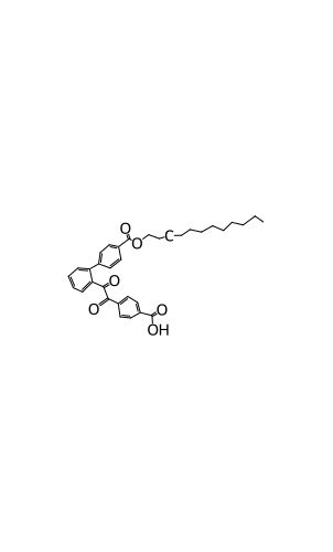 CCCCCCCCCCCCOC(=O)c1ccc(-c2ccccc2C(=O)C(=O)c2ccc(C(=O)O)cc2)cc1